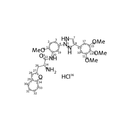 COc1ccc(N2NC=C(c3cc(OC)c(OC)c(OC)c3)N2)cc1NC(=O)C(N)Cc1cc2ccccc2o1.Cl